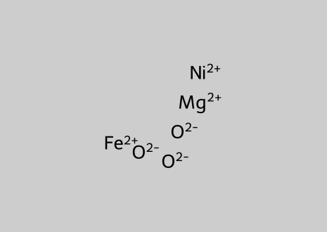 [Fe+2].[Mg+2].[Ni+2].[O-2].[O-2].[O-2]